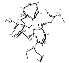 CCN(CC)c1ccc(NCC(=O)N(C)C)cc1.NC(=O)C1(C(N)=O)CCc2ccccc2C1